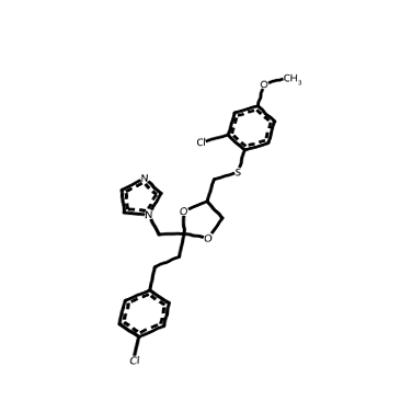 COc1ccc(SCC2COC(CCc3ccc(Cl)cc3)(Cn3ccnc3)O2)c(Cl)c1